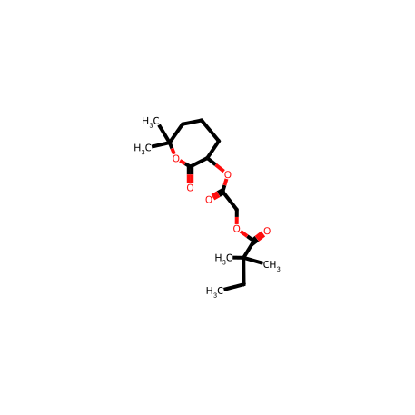 CCC(C)(C)C(=O)OCC(=O)OC1CCCC(C)(C)OC1=O